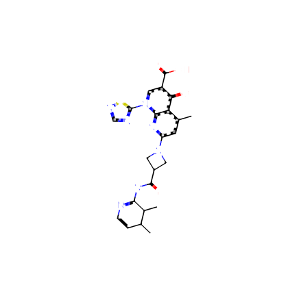 Cc1cc(N2CC(C(=O)NC3=NC=CC(C)C3C)C2)nc2c1c(=O)c(C(=O)O)cn2-c1ncns1